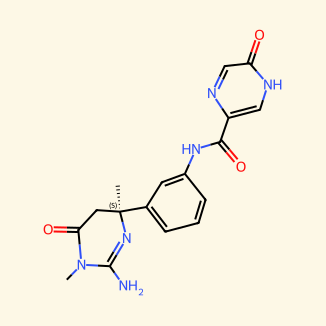 CN1C(=O)C[C@@](C)(c2cccc(NC(=O)c3c[nH]c(=O)cn3)c2)N=C1N